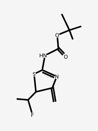 C=C1N=C(NC(=O)OC(C)(C)C)SC1C(C)F